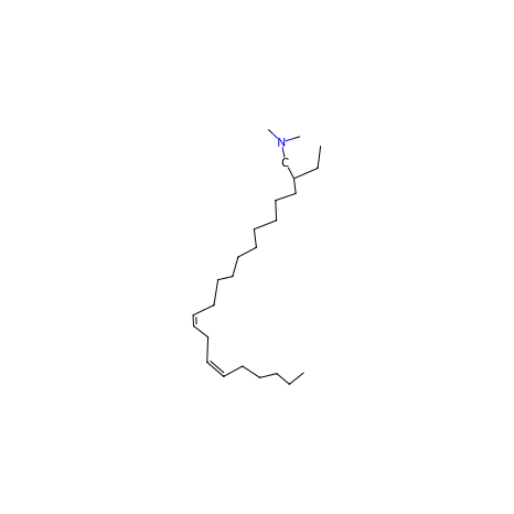 CCCCC/C=C\C/C=C\CCCCCCCCCC(CC)CN(C)C